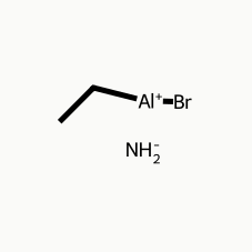 C[CH2][Al+][Br].[NH2-]